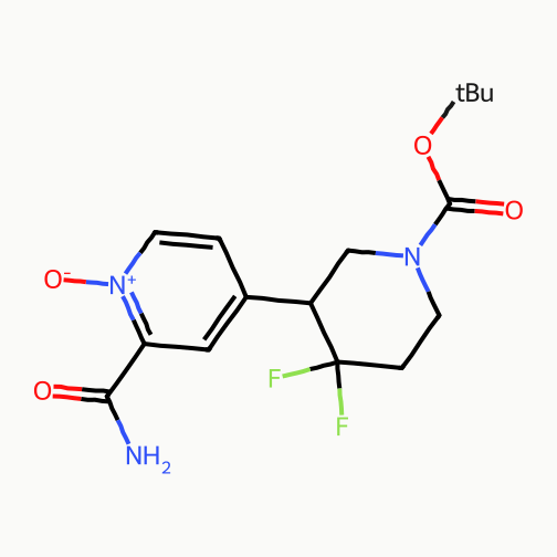 CC(C)(C)OC(=O)N1CCC(F)(F)C(c2cc[n+]([O-])c(C(N)=O)c2)C1